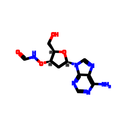 Nc1ncnc2c1ncn2[C@@H]1C[C@H](ONC=O)[C@@H](CO)O1